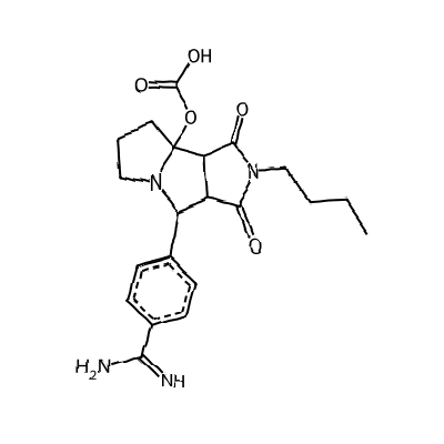 CCCCN1C(=O)C2C(c3ccc(C(=N)N)cc3)N3CCCC3(OC(=O)O)C2C1=O